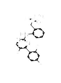 CC(C)(C)S(=O)(=O)Cc1ccccc1Nc1ncc(F)c(-c2ccc(F)cc2F)n1